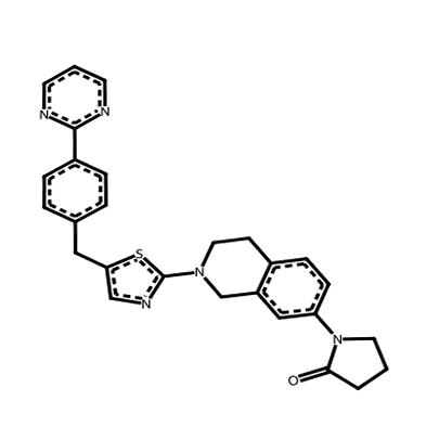 O=C1CCCN1c1ccc2c(c1)CN(c1ncc(Cc3ccc(-c4ncccn4)cc3)s1)CC2